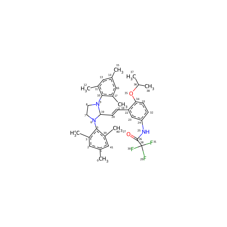 Cc1cc(C)c(N2CCN(c3c(C)cc(C)cc3C)C2/C=C/c2cc(NC(=O)C(F)(F)F)ccc2OC(C)C)c(C)c1